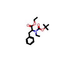 CCOC(=O)C(Cc1ccccc1)N(CC)C(=O)OC(C)(C)C